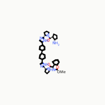 COC(=O)N[C@@H](C(=O)N1CCC[C@H]1c1ncc(-c2ccc(-c3ccc(-c4cnc([C@@H]5CCCN5C(=O)[C@H]5CCC[C@@H]5N)[nH]4)cc3)cc2)[nH]1)c1ccccc1